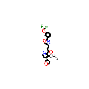 C1=COCC1.Cc1cccnc1C(=O)CCc1coc(-c2cccc(OC(F)F)c2)n1